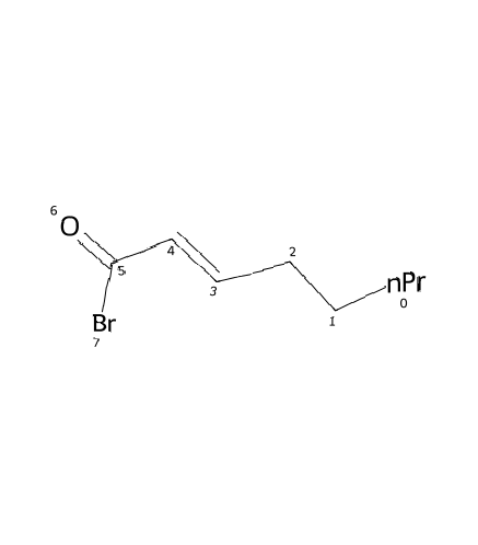 CCCCCC=CC(=O)Br